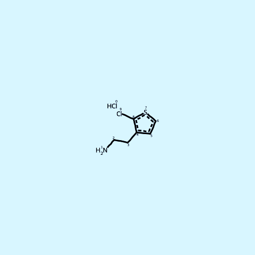 Cl.NCCc1ccsc1Cl